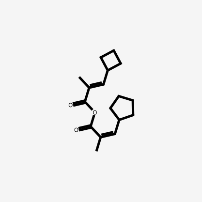 CC(=CC1CCCC1)C(=O)OC(=O)C(C)=CC1CCC1